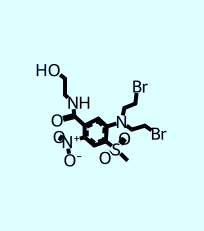 CS(=O)(=O)c1cc([N+](=O)[O-])c(C(=O)NCCO)cc1N(CCBr)CCBr